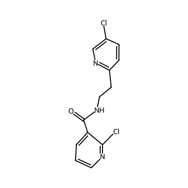 O=C(NCCc1ccc(Cl)cn1)c1cccnc1Cl